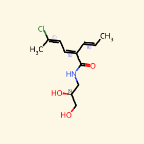 C/C=C/C(=C\C=C(/C)Cl)C(=O)NC[C@H](O)CO